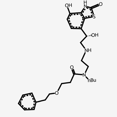 CCCCN(CCNC[C@@H](O)c1ccc(O)c2[nH]c(=O)sc12)C(=O)CCOCCc1ccccc1